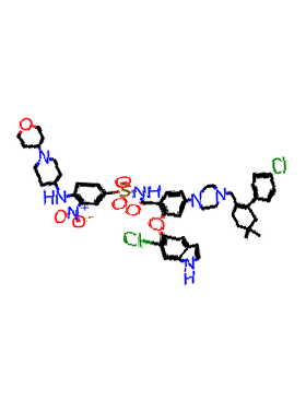 CC1(C)CCC(CN2CCN(c3ccc(C(=O)NS(=O)(=O)c4ccc(NC5CCN(C6CCOCC6)CC5)c([N+](=O)[O-])c4)c(Oc4cc5cc[nH]c5cc4Cl)c3)CC2)=C(c2ccc(Cl)cc2)C1